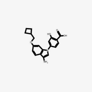 Nc1cn(-c2ccc(C(=O)O)c(O)c2)c2cc(OCC3CCC3)ccc12